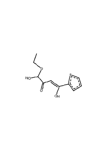 CCOC(O)C(=O)/C=C(\O)c1cccs1